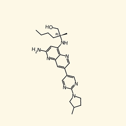 CCCC[C@](C)(CO)Nc1cc(N)nc2cc(-c3cnc(N4CCC(C)C4)nc3)cnc12